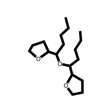 CCCCC(OC(CCCC)C1CCCO1)C1CCCO1